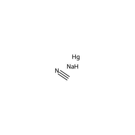 C#N.[Hg].[NaH]